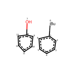 CCC(C)c1ccccc1.Oc1ccccc1